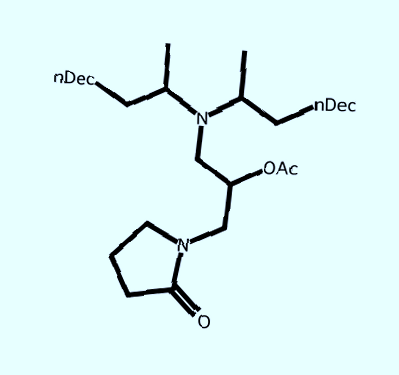 CCCCCCCCCCCC(C)N(CC(CN1CCCC1=O)OC(C)=O)C(C)CCCCCCCCCCC